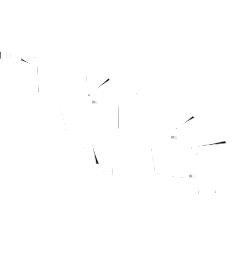 C[C@H]1[C@H](O)CC2=C3C(CC[C@@]21C)[C@@]1(C)CC[C@H](O)C=C1C[C@@H]3O